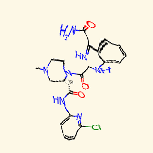 CN1CCN(C(=O)CNc2ccccc2C(=N)C(N)=O)[C@H](C(=O)Nc2cccc(Cl)n2)C1